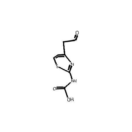 O=CCc1csc(NC(=O)O)n1